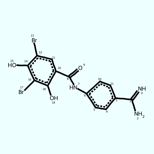 N=C(N)c1ccc(NC(=O)c2cc(Br)c(O)c(Br)c2O)cc1